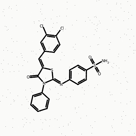 NS(=O)(=O)c1ccc(/N=C2\SC(=Cc3ccc(Cl)c(Cl)c3)C(=O)N2c2ccccc2)cc1